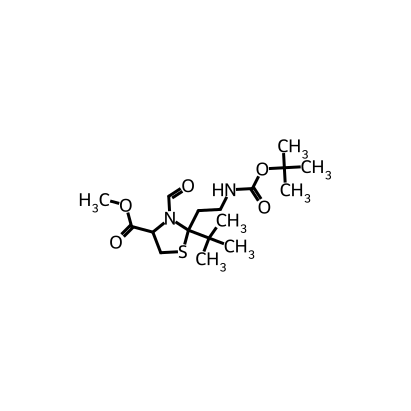 COC(=O)C1CSC(CCNC(=O)OC(C)(C)C)(C(C)(C)C)N1C=O